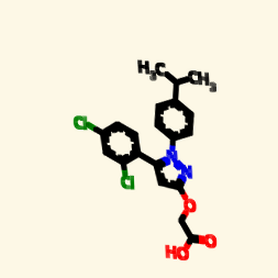 CC(C)c1ccc(-n2nc(OCC(=O)O)cc2-c2ccc(Cl)cc2Cl)cc1